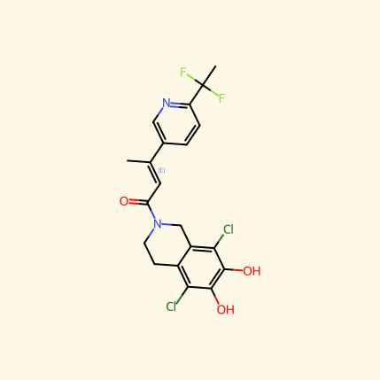 C/C(=C\C(=O)N1CCc2c(Cl)c(O)c(O)c(Cl)c2C1)c1ccc(C(C)(F)F)nc1